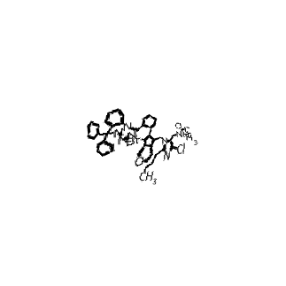 CCCCc1nc(Cl)c(CNC(C)=O)n1Cc1c2ccocc-2c(Br)c1-c1ccccc1-c1nnn(C(c2ccccc2)(c2ccccc2)c2ccccc2)n1